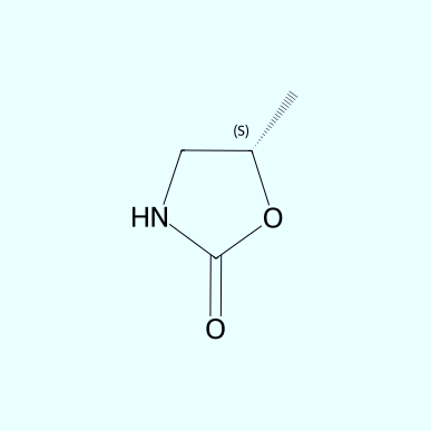 C[C@H]1CNC(=O)O1